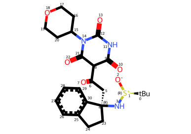 CC(C)(C)[S@+]([O-])N[C@@]1(CC(=O)C2C(=O)NC(=O)N(C3CCOCC3)C2=O)CCc2ccccc21